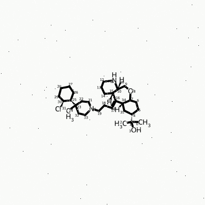 CC(C)(O)[C@H]1CCC2OC[C@H]3NCCC[C@H]3/C(=C\CCN3CCC(C)([C@@H]4CCCC[C@@H]4Cl)CC3)[C@H]2C1